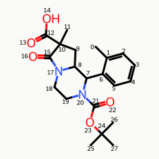 Cc1ccccc1C1C2CC(C)(C(=O)O)C(=O)N2CCN1C(=O)OC(C)(C)C